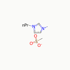 CCCn1cc[n+](C)c1.CS(=O)(=O)[O-]